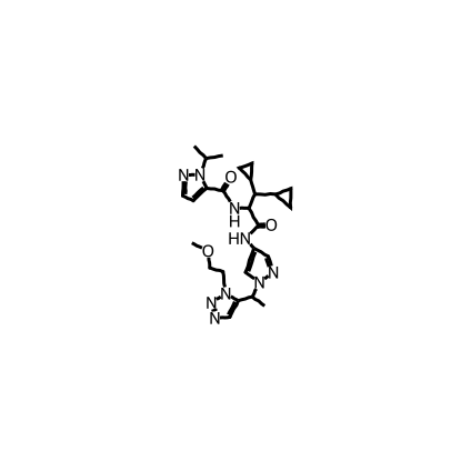 COCCn1nncc1C(C)n1cc(NC(=O)C(NC(=O)c2ccnn2C(C)C)C(C2CC2)C2CC2)cn1